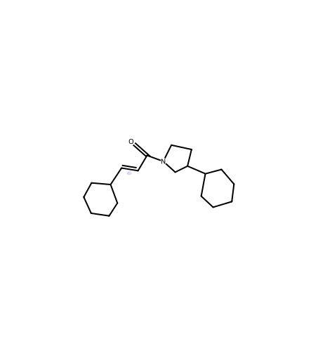 O=C(/C=C/C1CCCCC1)N1CCC(C2CCCCC2)C1